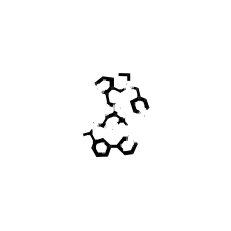 CCN(Cc1ccncc1)Cc1cccnc1-c1nc(C(F)(F)F)c(C(=O)NC(C)c2cccc(-c3cccnc3)c2)s1